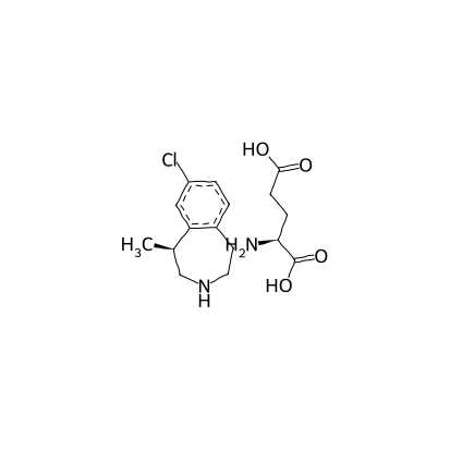 C[C@@H]1CNCCc2ccc(Cl)cc21.N[C@@H](CCC(=O)O)C(=O)O